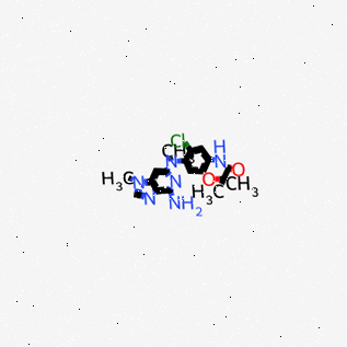 CN(c1cc2c(ncn2C)c(N)n1)c1cc2c(cc1Cl)NC(=O)C(C)(C)O2